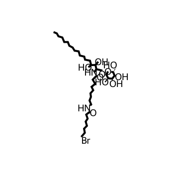 CCCCCCCCCCCCCCC(O)C(O)C(CO[C@H]1O[C@H](CO)[C@H](O)[C@H](O)[C@H]1O)NC(=O)CCCCCCCCNC(=O)CCCCCCCBr